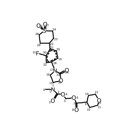 CN(C(=O)OCOC(=O)C1CCOCC1)[C@@H]1CN(c2ccc(C3CCS(=O)(=O)CC3)c(F)c2)C(=O)O1